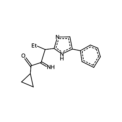 CCC(C(=N)C(=O)C1CC1)c1ncc(-c2ccccc2)[nH]1